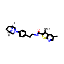 CNc1c(C(=O)NCCc2ccc(N3C[C@H]4CC[C@@H](C3)N4)cc2)sc2ncc(C)cc12